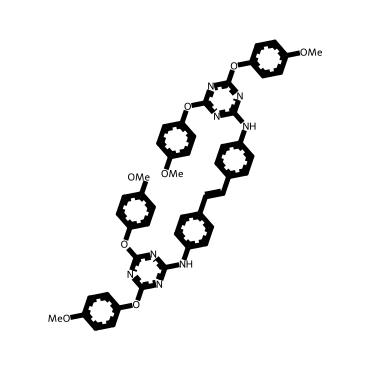 COc1ccc(Oc2nc(Nc3ccc(C=Cc4ccc(Nc5nc(Oc6ccc(OC)cc6)nc(Oc6ccc(OC)cc6)n5)cc4)cc3)nc(Oc3ccc(OC)cc3)n2)cc1